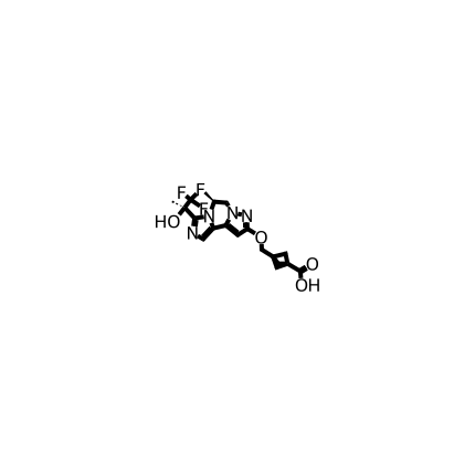 C[C@H]1Cn2nc(OCC34CC(C(=O)O)(C3)C4)cc2-c2cnc([C@@](C)(O)C(F)(F)F)n21